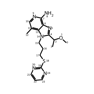 COC(C)c1nc2c(N)ncc(C)c2n1CCCSc1ncccn1